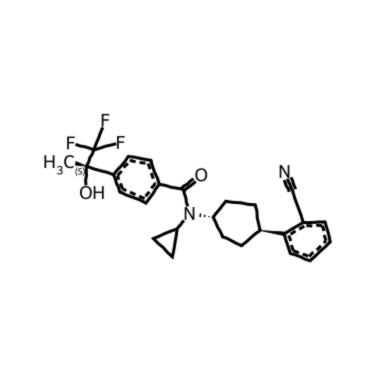 C[C@](O)(c1ccc(C(=O)N(C2CC2)[C@H]2CC[C@H](c3ccccc3C#N)CC2)cc1)C(F)(F)F